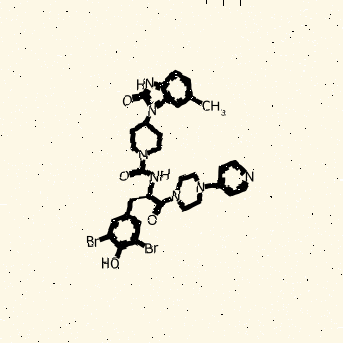 Cc1ccc2[nH]c(=O)n(C3CCN(C(=O)N[C@H](Cc4cc(Br)c(O)c(Br)c4)C(=O)N4CCN(c5ccncc5)CC4)CC3)c2c1